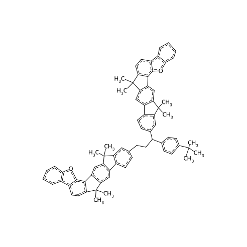 CC(C)(C)c1ccc(C(CCc2ccc3c(c2)C(C)(C)c2cc4c(cc2-3)C(C)(C)c2ccc3c(oc5ccccc53)c2-4)c2ccc3c(c2)C(C)(C)c2cc4c(cc2-3)C(C)(C)c2ccc3c(oc5ccccc53)c2-4)cc1